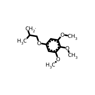 [CH2]C(C)COc1cc(OC)c(OC)c(OC)c1